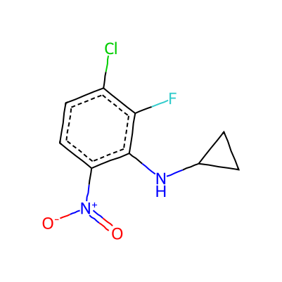 O=[N+]([O-])c1ccc(Cl)c(F)c1NC1CC1